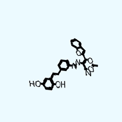 CC(=O)OC(=C(C#N)N=Nc1cccc(CCc2cc(O)ccc2O)c1)c1cc2ccccc2o1